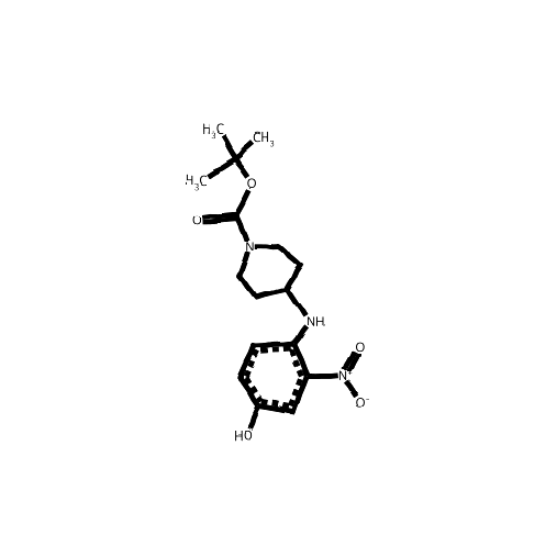 CC(C)(C)OC(=O)N1CCC(Nc2ccc(O)cc2[N+](=O)[O-])CC1